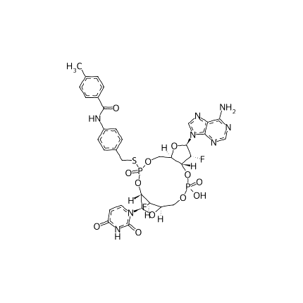 Cc1ccc(C(=O)Nc2ccc(CSP3(=O)OC[C@H]4O[C@@H](n5cnc6c(N)ncnc65)[C@H](F)[C@@H]4OP(=O)(O)OC[C@H]4O[C@@H](n5ccc(=O)[nH]c5=O)[C@H](O3)[C@@H]4F)cc2)cc1